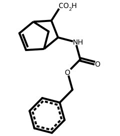 O=C(NC1C2C=CC(C2)C1C(=O)O)OCc1ccccc1